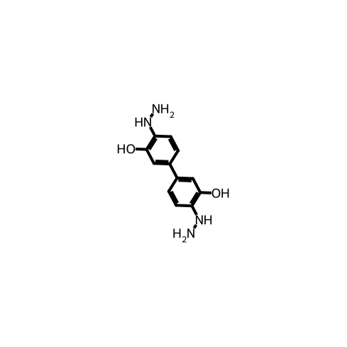 NNc1ccc(-c2ccc(NN)c(O)c2)cc1O